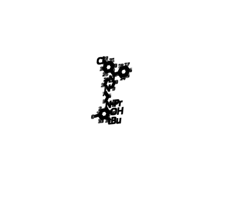 Cc1cc(N(CCCN2CCN(C(c3ccccc3)c3ccc(Cl)cc3)CC2)C(C)C)c(O)c(C(C)(C)C)c1